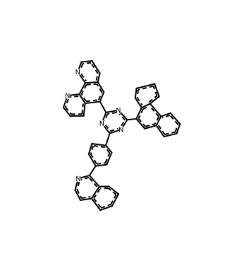 c1ccc2c(-c3ccc(-c4nc(-c5cc6ccccc6c6ccccc56)nc(-c5cc6cccnc6c6ncccc56)n4)cc3)nccc2c1